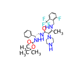 C/C(NCc1c(F)cccc1C(F)(F)F)=C(/C(=O)NC[C@H](NC(=O)OC(C)(C)C)c1ccccc1)N1CCNCC1